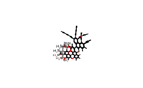 BBB(B)B(B(B)B)c1c(B(B(B)B)B(B)B)c(B(BB)B(B)B)c(C)c2c(-c3c4c(C)c(C)c(C)c(C)c4c(C)c4c(-c5c(C)c6c(C)c(C)c(C#CC)c(C#CC#C)c6c6c(C#CC#CC)c(C#CC#CC#C)c(C#CC#CC#CC)cc56)c(C)c(C)c(C)c34)c(C)c(C)c(B)c12